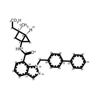 C[C@@]1(CC(=O)O)CC2(NC(=O)c3cccc4cnn(Cc5ccc(-c6ccccc6)cc5)c34)C[C@@H]21